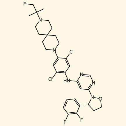 CC(C)(CF)N1CCC2(CCN(c3cc(Cl)c(Nc4cc(N5OCC[C@@H]5c5cccc(F)c5F)ncn4)cc3Cl)CC2)CC1